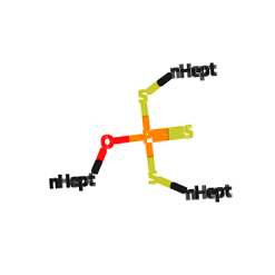 CCCCCCCOP(=S)(SCCCCCCC)SCCCCCCC